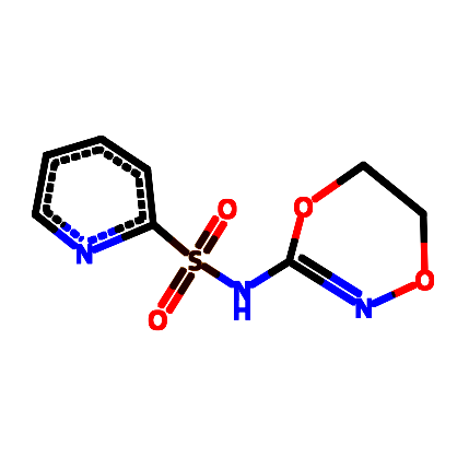 O=S(=O)(NC1=NOCCO1)c1ccccn1